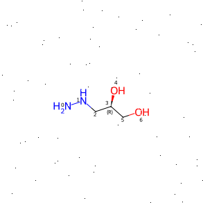 NNC[C@@H](O)CO